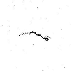 Cc1ccccc1OCC#CCC#CCC#CCC#CCCCC(=O)O